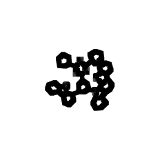 c1ccc(-c2nc(-c3ccccc3)nc(-c3cc(-c4cccc5c4oc4ccccc45)cc(-n4c5ccccc5c5ccc6c7ccccc7sc6c54)c3)n2)cc1